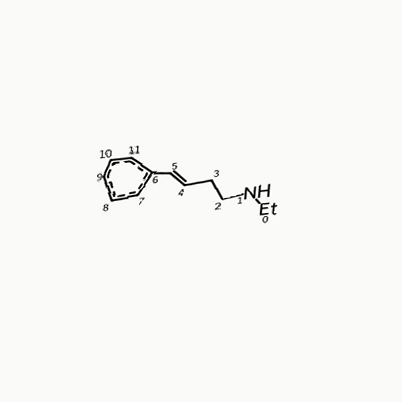 CCNCCC=Cc1ccccc1